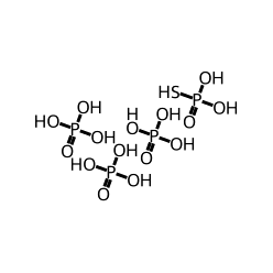 O=P(O)(O)O.O=P(O)(O)O.O=P(O)(O)O.O=P(O)(O)S